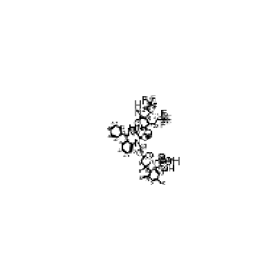 Cc1cc(C)c(C(C)(C)CC(=O)OCN2C(=O)C(NC(=O)[C@H](CCC(F)(F)F)[C@H](CCC(F)(F)F)C(N)=O)N=C(c3ccccc3)c3ccccc32)c(OP(=O)(O)O)c1